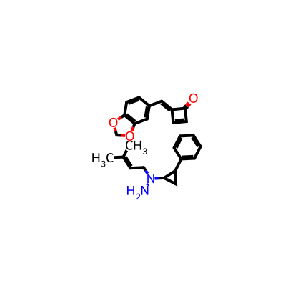 CC(C)=CCN(N)C1CC1c1ccccc1.O=C1C=CC1=Cc1ccc2c(c1)OCO2